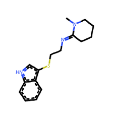 CN1CCCCC1=NCCSc1c[nH]c2ccccc12